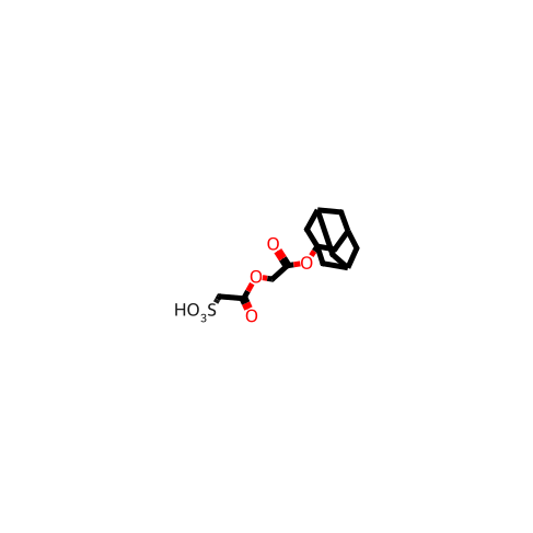 O=C(CS(=O)(=O)O)OCC(=O)OC12CC3CC(CC(C3)C1)C2